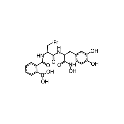 CC(C)C[C@H](NC(=O)c1ccccc1B(O)O)C(=O)N[C@@H](Cc1ccc(O)c(O)c1)C(=O)NO